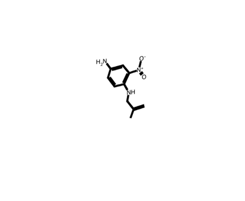 C=C(C)CNc1ccc(N)cc1[N+](=O)[O-]